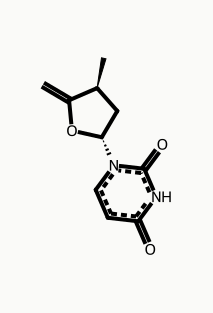 C=C1O[C@@H](n2ccc(=O)[nH]c2=O)C[C@@H]1C